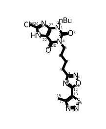 CCCCn1c(=O)n(CCCCc2noc(-c3snnc3C)n2)c(=O)c2[nH]c(Cl)nc21